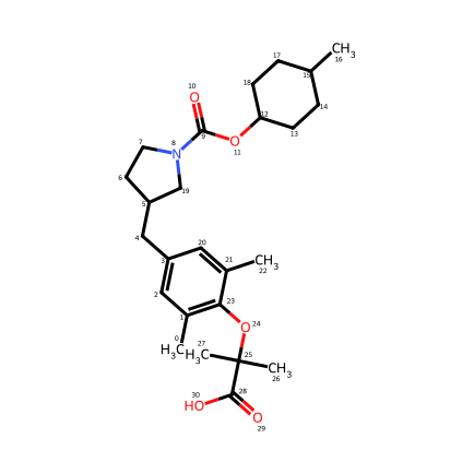 Cc1cc(CC2CCN(C(=O)OC3CCC(C)CC3)C2)cc(C)c1OC(C)(C)C(=O)O